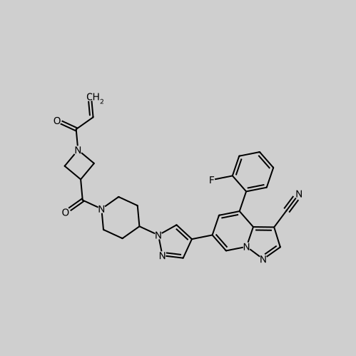 C=CC(=O)N1CC(C(=O)N2CCC(n3cc(-c4cc(-c5ccccc5F)c5c(C#N)cnn5c4)cn3)CC2)C1